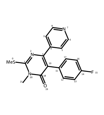 CSc1nc(-c2ccncc2)c(-c2ccc(F)cc2)c(=O)n1C